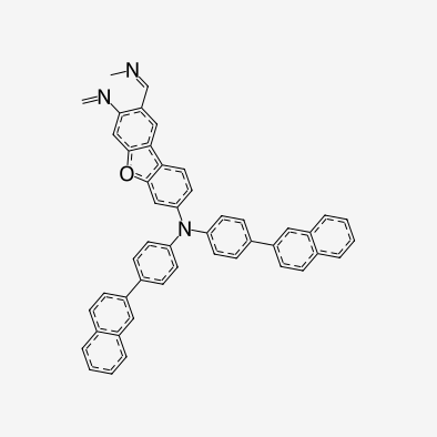 C=Nc1cc2oc3cc(N(c4ccc(-c5ccc6ccccc6c5)cc4)c4ccc(-c5ccc6ccccc6c5)cc4)ccc3c2cc1/C=N\C